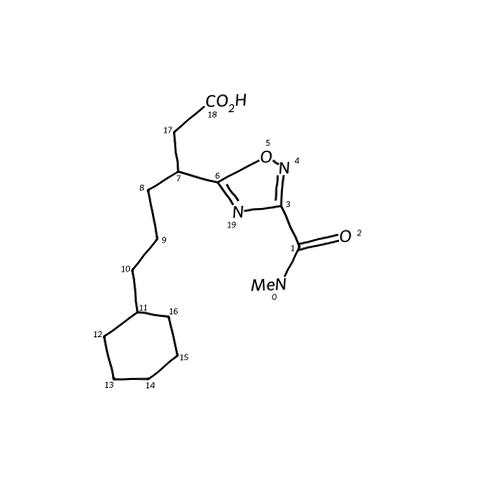 CNC(=O)c1noc(C(CCCC2CCCCC2)CC(=O)O)n1